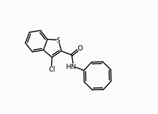 O=C(NC1=CC=CC=CC=C1)c1sc2ccccc2c1Cl